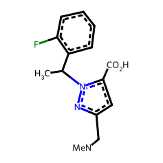 CNCc1cc(C(=O)O)n(C(C)c2ccccc2F)n1